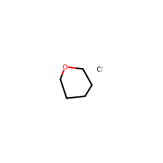 C1CCOCC1.[C]